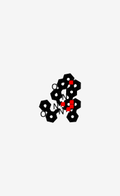 c1ccc2cc3c(cc2c1)oc1ccc(-c2nc(-c4cccc5oc6ccccc6c45)nc(-n4c5ccccc5c5ccccc54)n2)c(-n2c4ccccc4c4cc5ccccc5cc42)c13